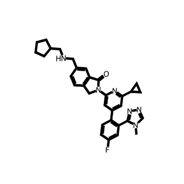 Cn1cnnc1-c1cc(F)ccc1-c1cc(C2CC2)nc(N2Cc3ccc(CNCC4CCCC4)cc3C2=O)c1